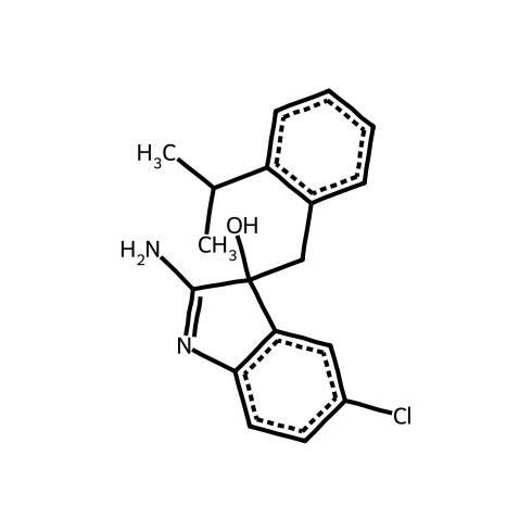 CC(C)c1ccccc1CC1(O)C(N)=Nc2ccc(Cl)cc21